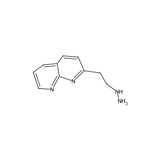 NNCCc1ccc2cccnc2n1